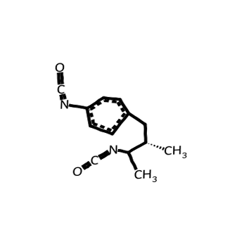 CC(N=C=O)[C@@H](C)Cc1ccc(N=C=O)cc1